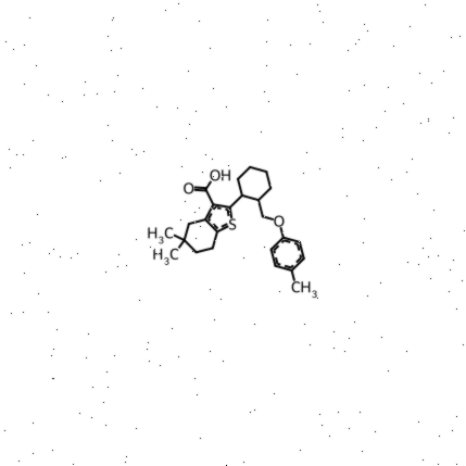 Cc1ccc(OCC2CCCCC2c2sc3c(c2C(=O)O)CC(C)(C)CC3)cc1